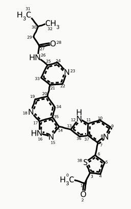 CC(=O)c1ccc(-c2nccc3[nH]c(-c4n[nH]c5ncc(-c6cncc(NC(=O)CC(C)C)c6)cc45)cc23)s1